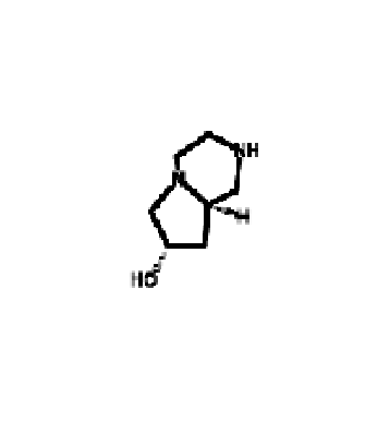 O[C@H]1C[C@@H]2CNCCN2C1